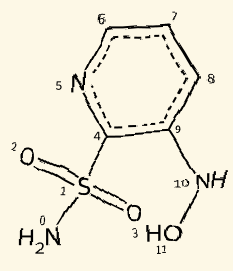 NS(=O)(=O)c1ncccc1NO